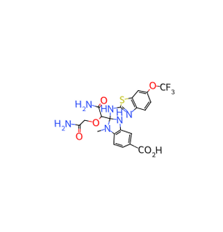 CN1c2ccc(C(=O)O)cc2NC1(Nc1nc2ccc(OC(F)(F)F)cc2s1)C(OCC(N)=O)C(N)=O